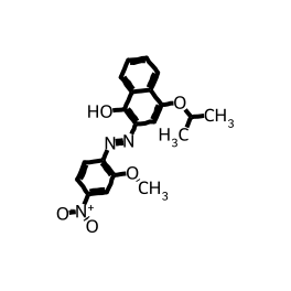 COc1cc([N+](=O)[O-])ccc1N=Nc1cc(OC(C)C)c2ccccc2c1O